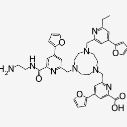 CCc1cc(-c2ccco2)cc(CN2CCN(Cc3cc(-c4ccco4)cc(C(=O)O)n3)CCN(Cc3cc(-c4ccco4)cc(C(=O)NCCN)n3)CC2)n1